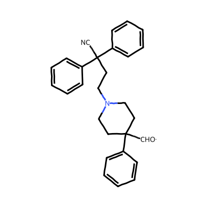 N#CC(CCN1CCC([C]=O)(c2ccccc2)CC1)(c1ccccc1)c1ccccc1